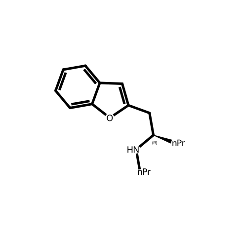 CCCN[C@H](CCC)Cc1cc2ccccc2o1